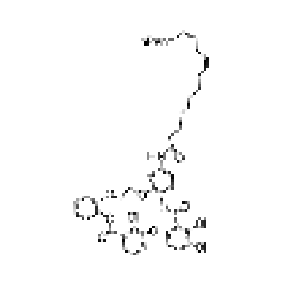 CCCCC/C=C\C/C=C\CCCCCCCC(=O)Nc1ccc(OC(=O)c2cccc(O)c2O)c(OCCOc2ccccc2OC(=O)c2cccc(O)c2O)c1